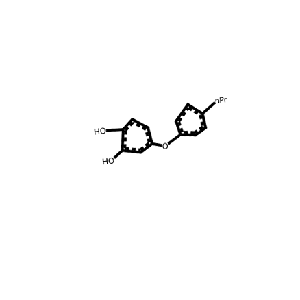 CCCc1ccc(Oc2ccc(O)c(O)c2)cc1